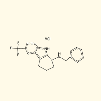 Cl.FC(F)(F)c1ccc2[nH]c3c(c2c1)CCCC3NCc1ccccc1